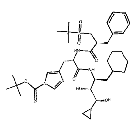 CC(C)(C)OC(=O)n1cnc(C[C@H](NC(=O)[C@H](Cc2ccccc2)CS(=O)(=O)C(C)(C)C)C(=O)N[C@@H](CC2CCCCC2)[C@@H](O)[C@@H](O)C2CC2)c1